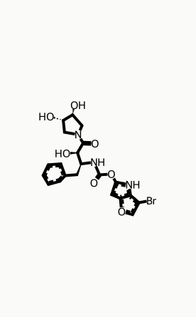 O=C(N[C@@H](Cc1ccccc1)[C@@H](O)C(=O)N1C[C@@H](O)[C@@H](O)C1)Oc1cc2occ(Br)c2[nH]1